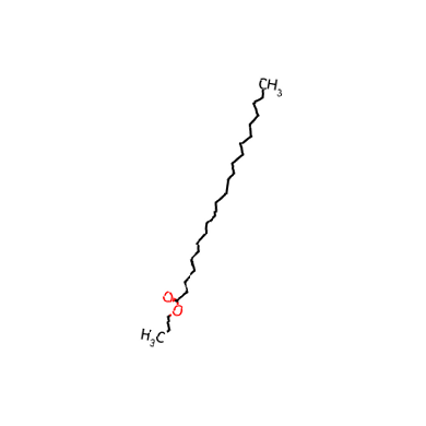 CCCCCCCCCCCCCCCCCCCCCCC(=O)OCCC